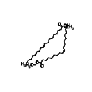 CCCCCCCC/C=C\CCCCCCCC(=O)OCC.CCCCCCCCC=CCCCCCCCC(=O)O